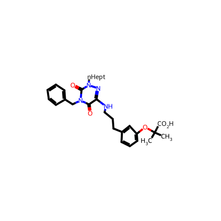 CCCCCCCn1nc(NCCCc2cccc(OC(C)(C)C(=O)O)c2)c(=O)n(Cc2ccccc2)c1=O